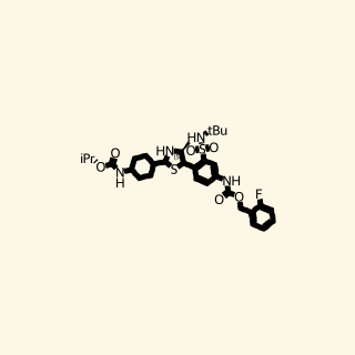 CC(C)OC(=O)NC1CCC(C2N[C@@H](C)C(c3ccc(NC(=O)OCc4ccccc4F)cc3S(=O)(=O)NC(C)(C)C)S2)CC1